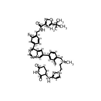 CN(CCn1ccc(NC2CCC(=O)NC2=O)n1)Cc1ccc(-c2cc3c(-c4ccc(CNC(=O)c5noc(C(C)(C)C)n5)c(F)c4)ncnn3c2)cc1F